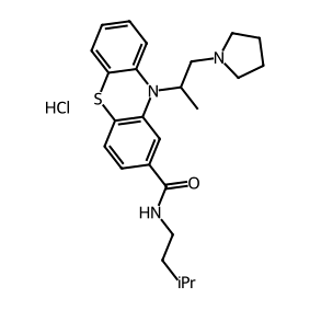 CC(C)CCNC(=O)c1ccc2c(c1)N(C(C)CN1CCCC1)c1ccccc1S2.Cl